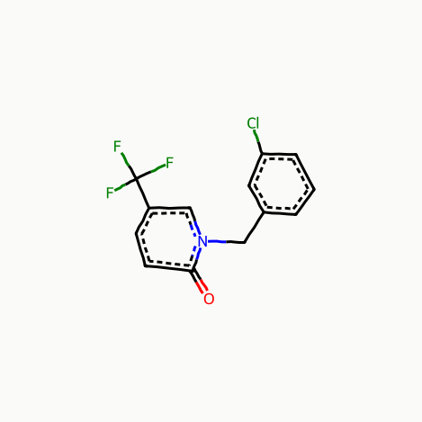 O=c1ccc(C(F)(F)F)cn1Cc1cccc(Cl)c1